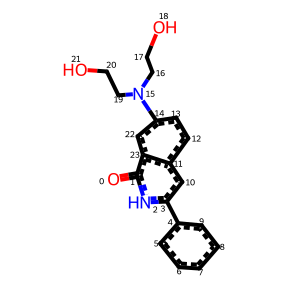 O=c1[nH]c(-c2ccccc2)cc2ccc(N(CCO)CCO)cc12